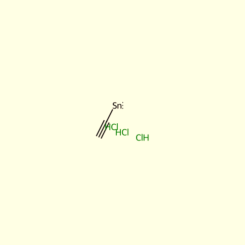 C#[C][Sn].Cl.Cl.Cl